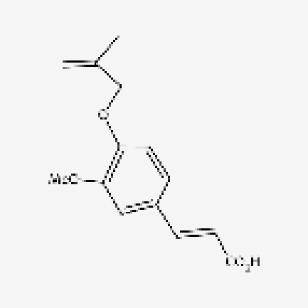 C=C(C)COc1ccc(/C=C/C(=O)O)cc1OC